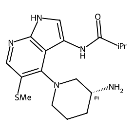 CSc1cnc2[nH]cc(NC(=O)C(C)C)c2c1N1CCC[C@@H](N)C1